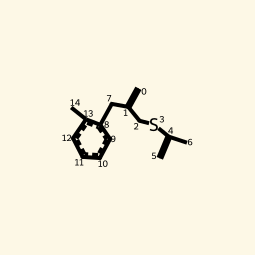 C=C(CSC(=C)C)Cc1ccccc1C